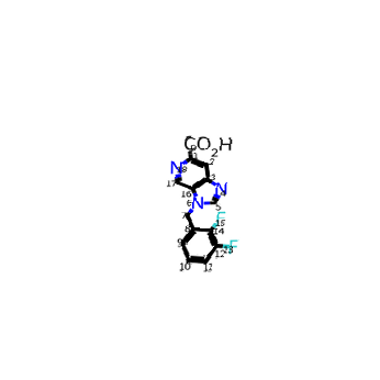 O=C(O)c1cc2ncn(Cc3cccc(F)c3F)c2cn1